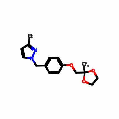 CCc1ccn(Cc2ccc(OCC3(C(F)(F)F)OCCO3)cc2)n1